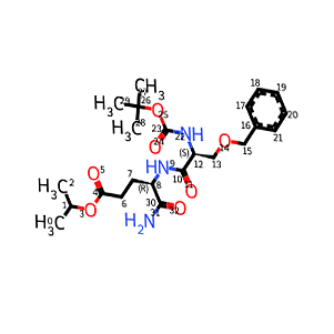 CC(C)OC(=O)CC[C@@H](NC(=O)[C@H](COCc1ccccc1)NC(=O)OC(C)(C)C)C(N)=O